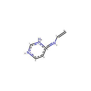 C=C/N=c1/ccnc[nH]1